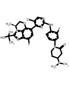 C[C@H]1COc2c(-c3nc(Nc4ccc(N5CCC(N(C)C)CC5=O)cc4F)ncc3Cl)cc(F)c3nc(C(C)(C)O)n1c23